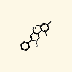 Cc1cc(C)c(C2=C(O)C=C(c3ccccc3)[S+]([O-])C2)c(C)c1